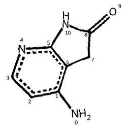 Nc1ccnc2c1CC(=O)N2